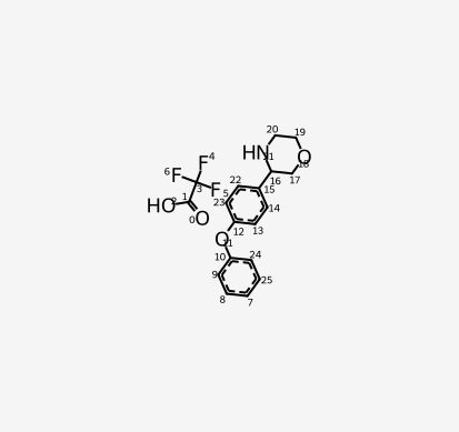 O=C(O)C(F)(F)F.c1ccc(Oc2ccc(C3COCCN3)cc2)cc1